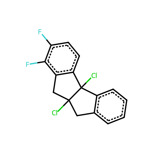 Fc1ccc2c(c1F)CC1(Cl)Cc3ccccc3C21Cl